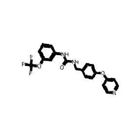 O=C(NCc1ccc(Oc2ccncc2)cc1)Nc1cccc(OC(F)(F)F)c1